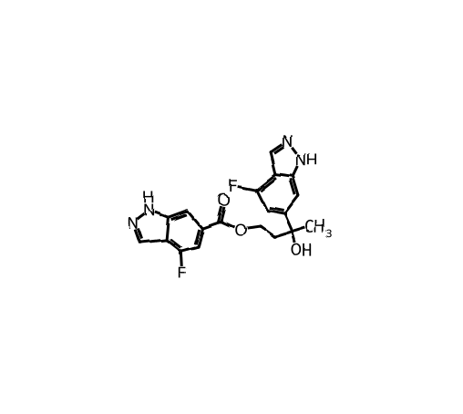 CC(O)(CCOC(=O)c1cc(F)c2cn[nH]c2c1)c1cc(F)c2cn[nH]c2c1